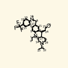 CCN(C)c1ccc(CN(C)c2ccc(C(F)(F)F)cc2)cc1/C(=C\C=O)C1CCN(C(C)C)CC1